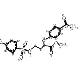 COC(=O)C(CCOS(=O)(=O)c1ccc(C)cc1)Oc1ccc(C(C)=O)cc1